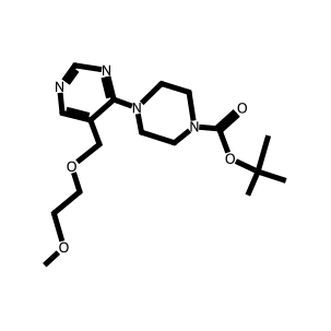 COCCOCc1cncnc1N1CCN(C(=O)OC(C)(C)C)CC1